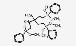 CO[Si](CCC([SiH3])(CC[Si](OC)(OC)c1ccccc1)CC[Si](OC)(OC)c1ccccc1)(OC)c1ccccc1